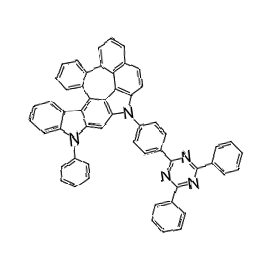 c1ccc(-c2nc(-c3ccccc3)nc(-c3ccc(-n4c5cc6c(c7c5c5c8c(cccc8ccc54)-c4ccccc4-7)c4ccccc4n6-c4ccccc4)cc3)n2)cc1